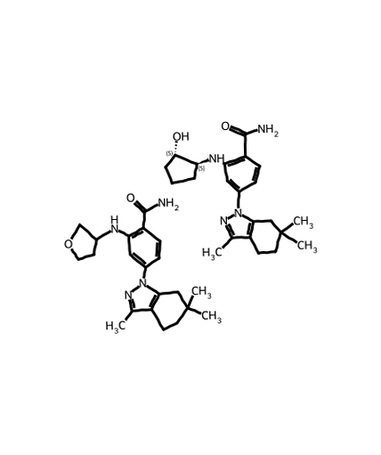 Cc1nn(-c2ccc(C(N)=O)c(NC3CCOC3)c2)c2c1CCC(C)(C)C2.Cc1nn(-c2ccc(C(N)=O)c(N[C@H]3CCC[C@@H]3O)c2)c2c1CCC(C)(C)C2